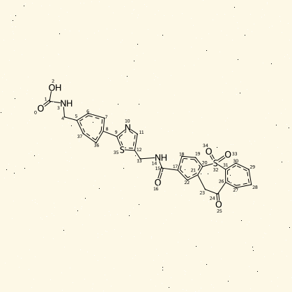 O=C(O)NCc1ccc(-c2ncc(CNC(=O)c3ccc4c(c3)CC(=O)c3ccccc3S4(=O)=O)s2)cc1